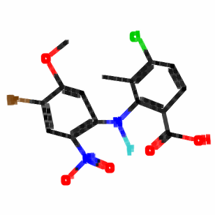 COc1cc(N(F)c2c(C(=O)O)ccc(Cl)c2C)c([N+](=O)[O-])cc1Br